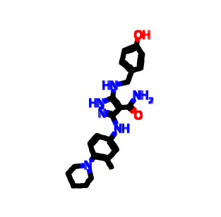 Cc1cc(Nc2n[nH]c(NCc3ccc(O)cc3)c2C(N)=O)ccc1N1CCCCC1